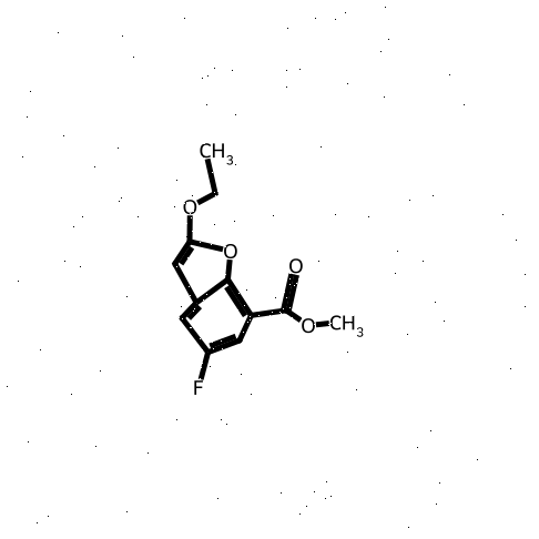 CCOc1cc2cc(F)cc(C(=O)OC)c2o1